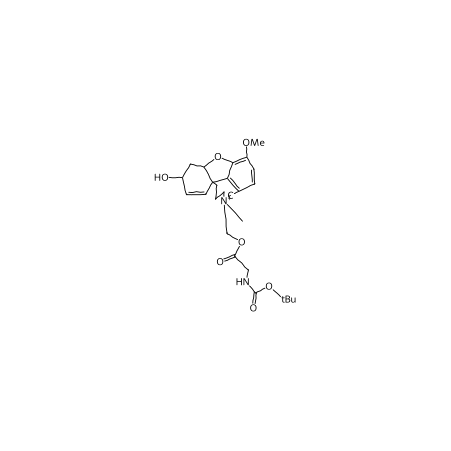 COc1ccc2c3c1OC1CC(O)C=CC31CCC[N+](C)(COC(=O)CNC(=O)OC(C)(C)C)C2